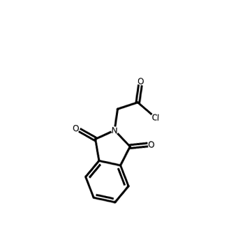 O=C(Cl)CN1C(=O)c2ccccc2C1=O